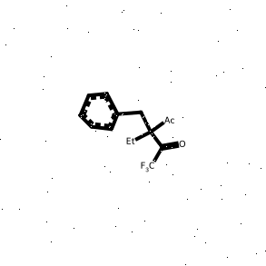 CCC(Cc1ccccc1)(C(C)=O)C(=O)C(F)(F)F